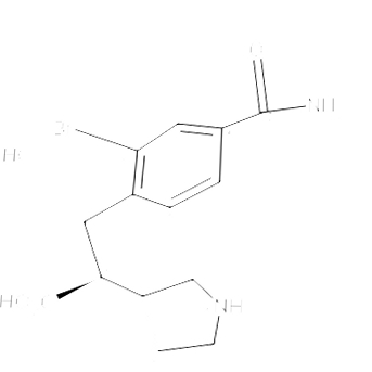 Cl.NC(=O)c1ccc(C[C@H](C(=O)O)[C@H]2CCNC2)c(Br)c1